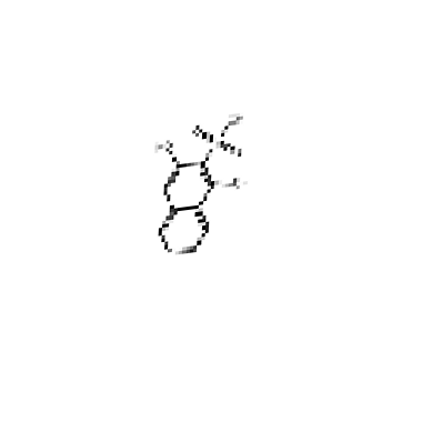 O=S(=O)(O)c1c(O)[c]c2ccccc2c1O